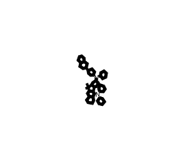 CC1(C)c2cc(N(c3ccccc3)c3ccc(-c4ccc5ccccc5c4)cc3)ccc2-c2c1cc1ccccc1c2N(c1ccccc1)c1ccccc1